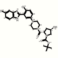 CC(C)(C)OC(=O)N1C[C@H](O)C[C@H]1C(=O)N1CCN(c2ccc(Cl)c(-c3nc4cc(Cl)ccc4[nH]3)c2)CC1